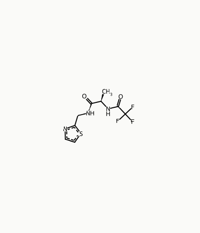 C[C@@H](NC(=O)C(F)(F)F)C(=O)NCc1nccs1